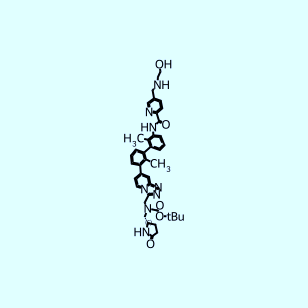 Cc1c(NC(=O)c2ccc(CNCCO)cn2)cccc1-c1cccc(-c2ccn3c(CN(C[C@@H]4CCC(=O)N4)C(=O)OC(C)(C)C)nnc3c2)c1C